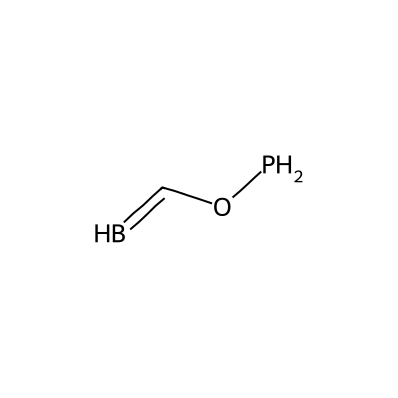 B=COP